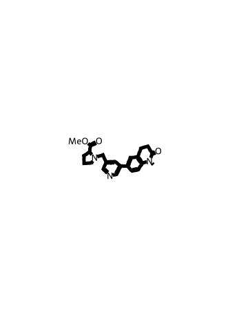 COC(=O)C1CCCN1Cc1cncc(-c2ccc3c(c2)CCC(=O)N3C)c1